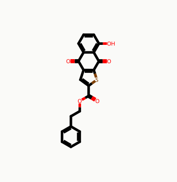 O=C(OCCc1ccccc1)c1cc2c(s1)C(=O)c1c(O)cccc1C2=O